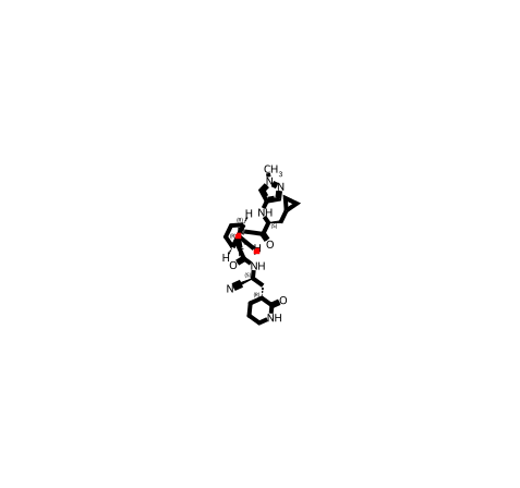 Cn1cc(N[C@@H](CC2CC2)C(=O)N2[C@@H]3CC[C@H]([C@@H]2C(=O)N[C@H](C#N)C[C@H]2CCCNC2=O)C(F)(F)C3)cn1